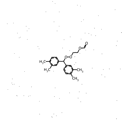 Cc1ccc(C(OOCCOC=O)c2ccc(C)c(C)c2)cc1C